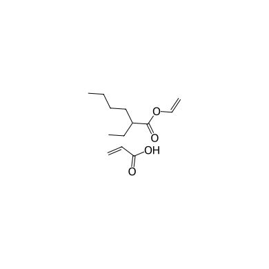 C=CC(=O)O.C=COC(=O)C(CC)CCCC